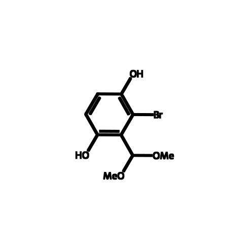 COC(OC)c1c(O)ccc(O)c1Br